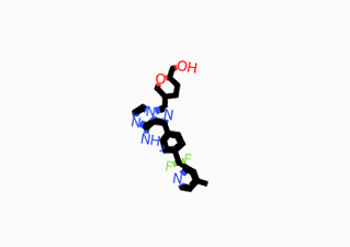 Cc1ccnc(C(F)(F)c2ccc(-c3nc(C4CCC(CO)OC4)n4ccnc(N)c34)cc2)c1